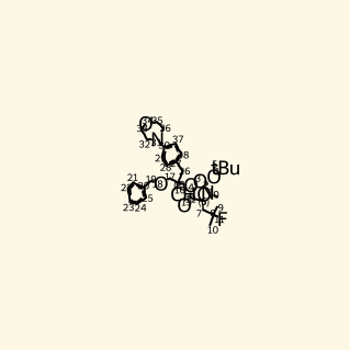 CN(C(=O)OC(C)(C)C)[C@@H](CC(C)(C)F)C(=O)O[C@@](C=O)(COCc1ccccc1)Cc1ccc(N2CCOCC2)cc1